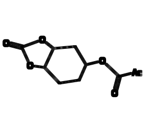 CC(=O)C(=O)OC1CCC2OC(=O)OC2C1